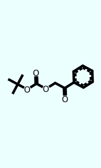 CC(C)(C)OC(=O)OCC(=O)c1ccccc1